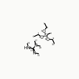 CCO[Si](C)(OCC)OCC.CN=C(NC)N(C)C